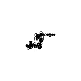 COCCOCCOCCNC(=O)c1cc(Nc2cc(Oc3ccc(NC(=O)Nc4cc(C(C)(C)C)cc(C(=O)OC)c4OC)c4ccccc34)ccn2)cc(OC)c1